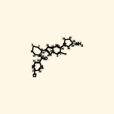 Cc1cn2nc([C@@H]3CCCCN3C(=O)c3cnc(Cl)cn3)cc2nc1N1CC[C@H](N)C1